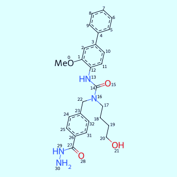 COc1cc(-c2ccccc2)ccc1NC(=O)N(CCCCO)Cc1ccc(C(=O)NN)cc1